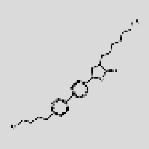 CCCCCCCC1CC(c2ccc(-c3ccc(CCCCC)cc3)cc2)OC1=O